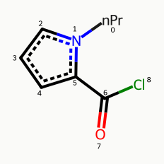 CCCn1cccc1C(=O)Cl